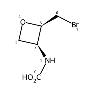 O=C(O)N[C@H]1CO[C@H]1CBr